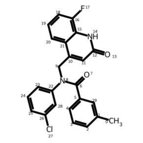 Cc1cccc(C(=O)N(Cc2cc(=O)[nH]c3c(F)cccc23)c2cccc(Cl)c2)c1